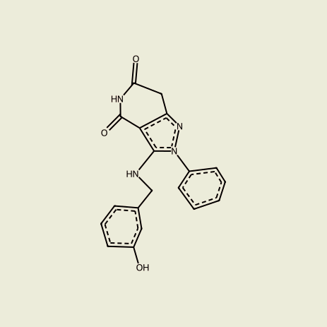 O=C1Cc2nn(-c3ccccc3)c(NCc3cccc(O)c3)c2C(=O)N1